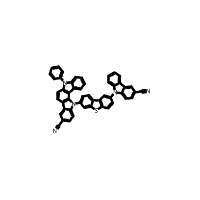 N#Cc1ccc2c(c1)c1ccccc1n2-c1ccc2sc3cc(-n4c5ccc(C#N)cc5c5ccc6c(c7ccccc7n6-c6ccccc6)c54)ccc3c2c1